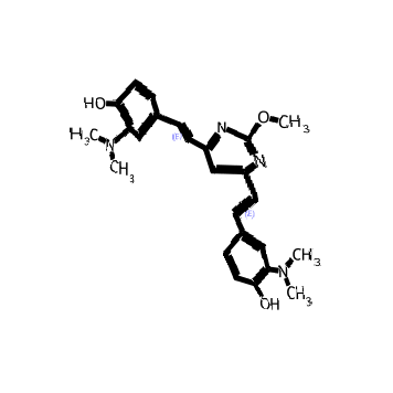 COc1nc(/C=C/c2ccc(O)c(N(C)C)c2)cc(/C=C/c2ccc(O)c(N(C)C)c2)n1